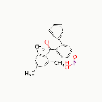 Cc1cc(C)c(C(=O)c2ccccc2-c2ccccc2)c(C)c1.O=PO